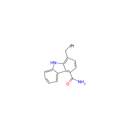 CC(C)Cc1ccc(C(N)=O)c2c1[nH]c1ccccc12